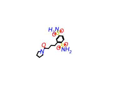 NS(=O)(=O)c1ccc(S(N)(=O)=O)c(CCCC(=O)N2CCCC2)c1